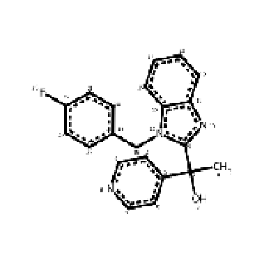 CC(O)(c1ccncc1)c1nc2ccccc2n1Cc1ccc(F)cc1